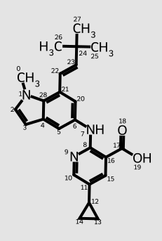 Cn1ccc2cc(Nc3ncc(C4CC4)cc3C(=O)O)cc(C=CC(C)(C)C)c21